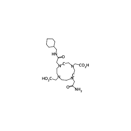 NC(=O)CN1CCN(CC(=O)O)CCN(CC(=O)NCC2CCCCC2)CCN(CC(=O)O)CC1